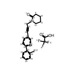 O=C(O)C(F)(F)F.O=C1CCCCN1CC#Cc1ccc(-c2ccccc2F)nc1